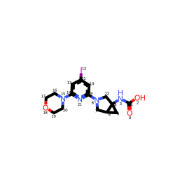 O=C(O)NC12CC1CN(c1cc(I)cc(N3CCOCC3)n1)C2